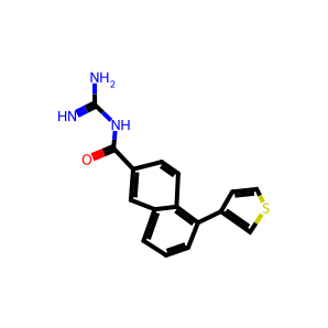 N=C(N)NC(=O)c1ccc2c(-c3ccsc3)cccc2c1